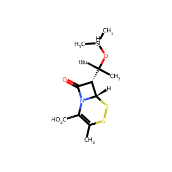 CC1=C(C(=O)O)N2C(=O)[C@H](C(C)(O[SiH](C)C)C(C)(C)C)[C@@H]2SS1